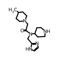 CC1CCN(CC(=O)N(Cc2ncc[nH]2)C2CCNCC2)CC1